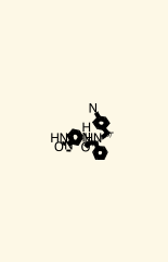 C[C@H](CN[C@H](C(=O)Nc1ccc2[nH]c(=O)n(C)c2c1)c1ccccc1)c1ccc(C#N)cc1